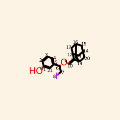 Oc1cccc(C(CI)OC=C2C3CC4CC(C3)CC2C4)c1